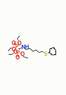 CCOP(=O)(OCC)C(NCCCCCCSc1ccccc1)P(=O)(OCC)OCC